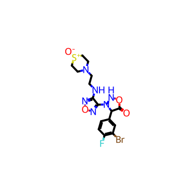 O=C1ONN(c2nonc2NCCN2CC[S+]([O-])CC2)C1c1ccc(F)c(Br)c1